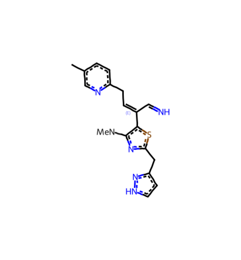 CNc1nc(Cc2cc[nH]n2)sc1/C(C=N)=C/Cc1ccc(C)cn1